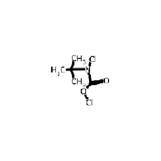 CC(C)(C)N(Cl)C(=O)OCl